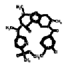 CN=S(C)(=O)c1ccc([C@@H](C)N2C[C@@H](C)n3nc4c(c3C2=O)CN(C(=O)c2ccc(Cl)c(Cl)c2)[C@H](C)C4)cn1